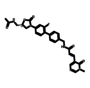 CC(=O)NC[C@H]1CN(c2ccc(-c3ccc(CNC(=O)/C=C/c4cncn(C)c4=O)cc3)c(F)c2)C(=O)O1